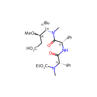 CCOC(=O)N(C)[C@H](C(=O)N[C@H](C(=O)N(C)[C@@H]([C@@H](C)CC)[C@@H](CC(=O)O)OC)C(C)C)C(C)C